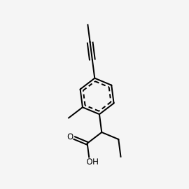 CC#Cc1ccc(C(CC)C(=O)O)c(C)c1